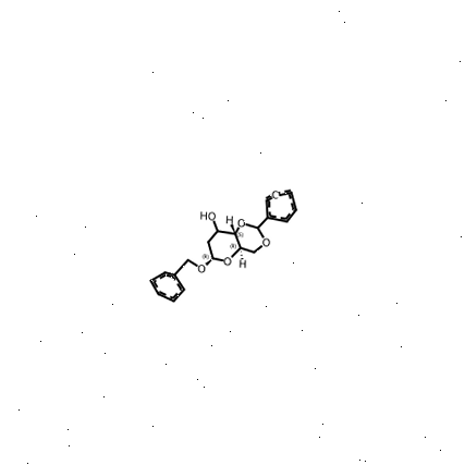 OC1C[C@H](OCc2ccccc2)O[C@@H]2COC(c3ccccc3)O[C@@H]12